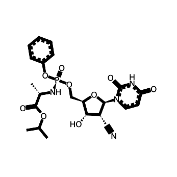 CC(C)OC(=O)[C@H](C)N[P@@](=O)(OC[C@H]1O[C@@H](n2ccc(=O)[nH]c2=O)[C@H](C#N)[C@@H]1O)Oc1ccccc1